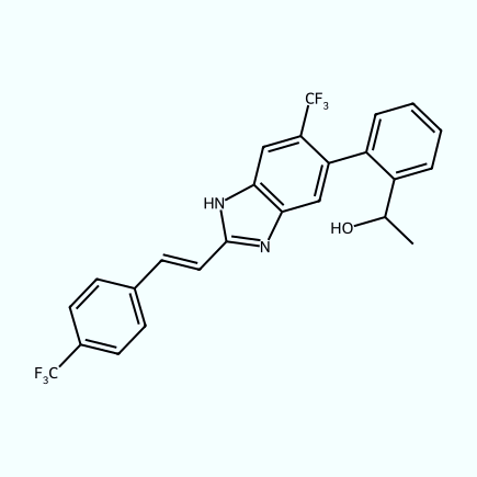 CC(O)c1ccccc1-c1cc2nc(C=Cc3ccc(C(F)(F)F)cc3)[nH]c2cc1C(F)(F)F